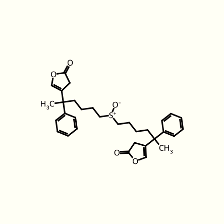 CC(CCCC[S+]([O-])CCCCC(C)(C1=COC(=O)C1)c1ccccc1)(C1=COC(=O)C1)c1ccccc1